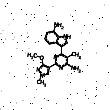 COc1nn(C)cc1-c1nc(N)c(C)c(-c2c[nH]c3c(N)cccc23)n1